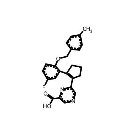 Cc1ccc(COc2ccc(F)cc2C2=C(c3cncc(C(=O)O)n3)CCC2)cc1